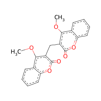 COc1c(Cc2c(OC)c3ccccc3oc2=O)c(=O)oc2ccccc12